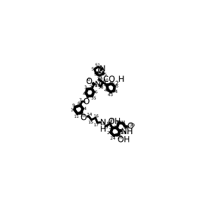 O=C(c1ccc(OCc2cccc(OCCCCNC[C@H](O)c3ccc(O)c4[nH]c(=O)ccc34)c2)cc1)N1CC(C(=O)O)(c2ccccc2)[C@H]1C1CN2CCC1CC2